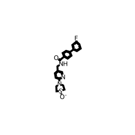 O=C(NCc1ccc(N2CC[S+]([O-])CC2)nc1)c1ccc(-c2cccc(F)c2)cc1